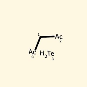 CC(=O)CC(C)=O.[TeH2]